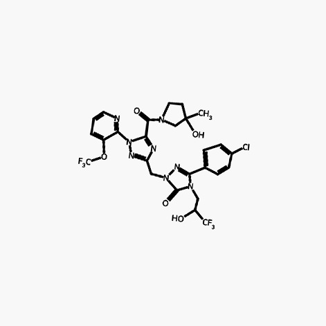 CC1(O)CCN(C(=O)c2nc(Cn3nc(-c4ccc(Cl)cc4)n(CC(O)C(F)(F)F)c3=O)nn2-c2ncccc2OC(F)(F)F)C1